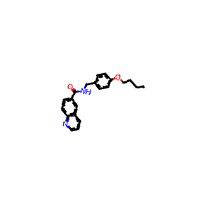 CCCCOc1ccc(CNC(=O)c2ccc3ncccc3c2)cc1